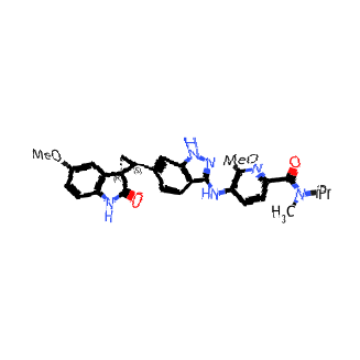 COc1ccc2c(c1)[C@]1(C[C@H]1c1ccc3c(Nc4ccc(C(=O)N(C)C(C)C)nc4OC)n[nH]c3c1)C(=O)N2